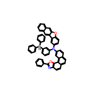 c1ccc(-c2nc3ccc4ccc5ccc(N(c6cccc([SiH](c7ccccc7)c7ccccc7)c6)c6ccc7oc8cc9ccccc9cc8c7c6)cc5c4c3o2)cc1